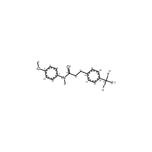 COc1ccc(N(C)C(=O)CCc2ccc(C(F)(F)F)cc2)cc1